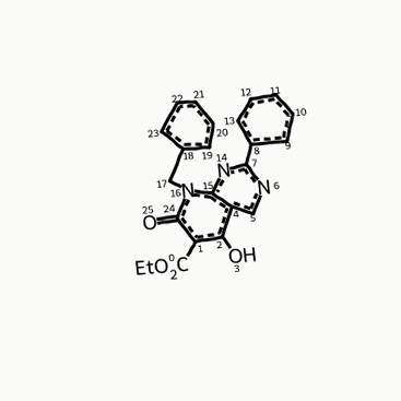 CCOC(=O)c1c(O)c2cnc(-c3ccccc3)nc2n(Cc2ccccc2)c1=O